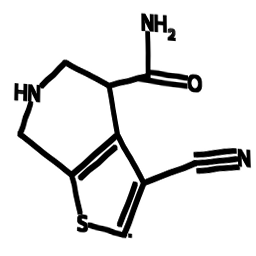 N#Cc1[c]sc2c1C(C(N)=O)CNC2